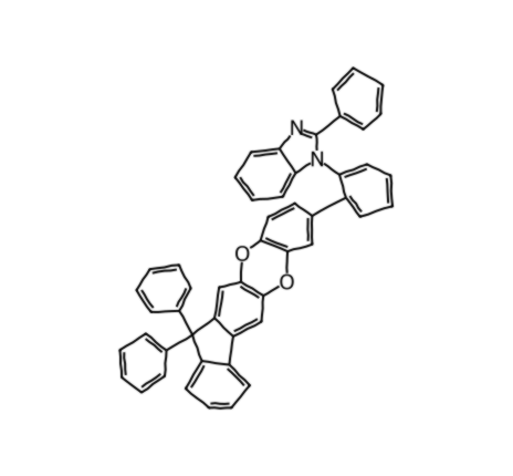 c1ccc(-c2nc3ccccc3n2-c2ccccc2-c2ccc3c(c2)Oc2cc4c(cc2O3)C(c2ccccc2)(c2ccccc2)c2ccccc2-4)cc1